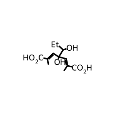 CCC(O)C(O)(C=C(C)C(=O)O)C=C(C)C(=O)O